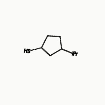 CC(C)C1CCC(S)C1